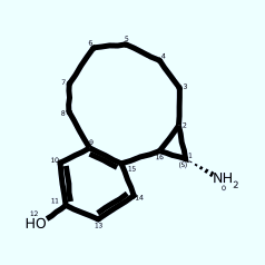 N[C@H]1C2CCCCCCc3cc(O)ccc3C21